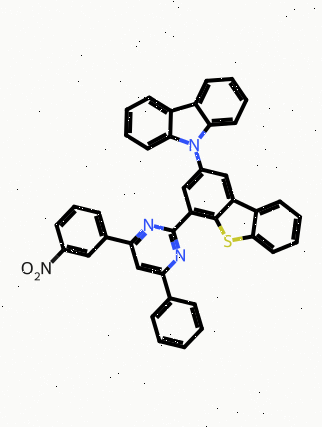 O=[N+]([O-])c1cccc(-c2cc(-c3ccccc3)nc(-c3cc(-n4c5ccccc5c5ccccc54)cc4c3sc3ccccc34)n2)c1